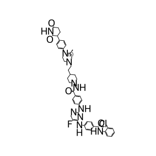 C[C@H]1CN(CCC2CCN(NC(=O)c3ccc(Nc4ncc(F)c(Nc5ccc(C(=O)Nc6ccccc6Cl)cc5)n4)cc3)CC2)CCN1c1ccc(C2CCC(=O)NC2=O)cc1